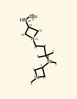 CN1CC(N(C)C(C)(C)CCN2CC(NC(C)(C)C)C2)C1